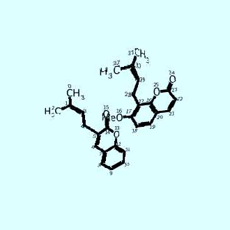 CC(C)=CCc1cc2ccccc2oc1=O.COc1ccc2ccc(=O)oc2c1CC=C(C)C